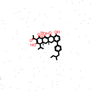 CCC(C)Cc1ccc(-c2ccc(O)c3c2C[C@]2(C)C[C@]4(C)C(C(C)C)C(O)=C(C(C)=O)C(=O)[C@]4(O)C(O)=C2C3=O)cc1